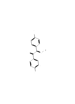 NN=C(C(=O)c1ccc(Cl)cc1)c1ccc(Cl)cc1